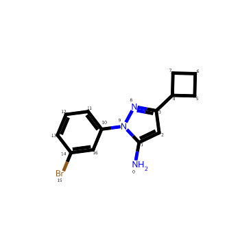 Nc1cc(C2CCC2)nn1-c1cccc(Br)c1